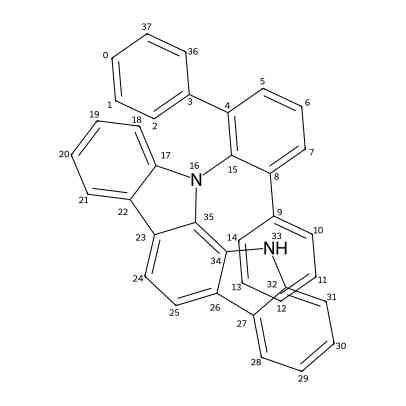 c1ccc(-c2cccc(-c3ccccc3)c2-n2c3ccccc3c3ccc4c5ccccc5[nH]c4c32)cc1